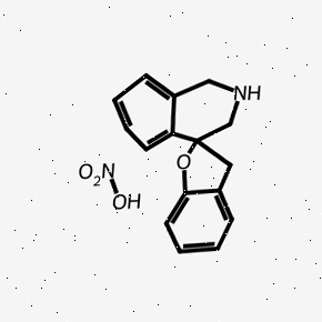 O=[N+]([O-])O.c1ccc2c(c1)CC1(CNCc3ccccc31)O2